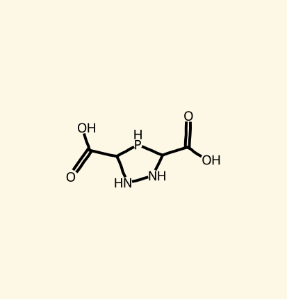 O=C(O)C1NNC(C(=O)O)P1